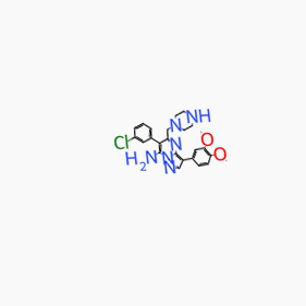 COc1ccc(-c2cnn3c(N)c(-c4cccc(Cl)c4)c(CN4CCNCC4)nc23)cc1OC